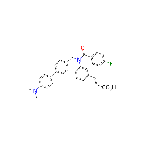 CN(C)c1ccc(-c2ccc(CN(C(=O)c3ccc(F)cc3)c3cccc(C=CC(=O)O)c3)cc2)cc1